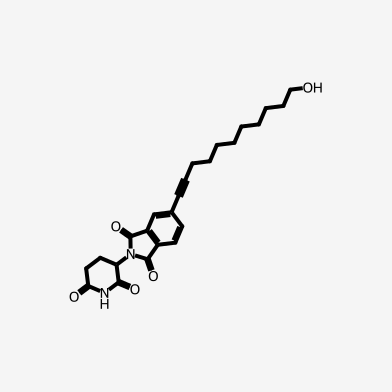 O=C1CCC(N2C(=O)c3ccc(C#CCCCCCCCCCO)cc3C2=O)C(=O)N1